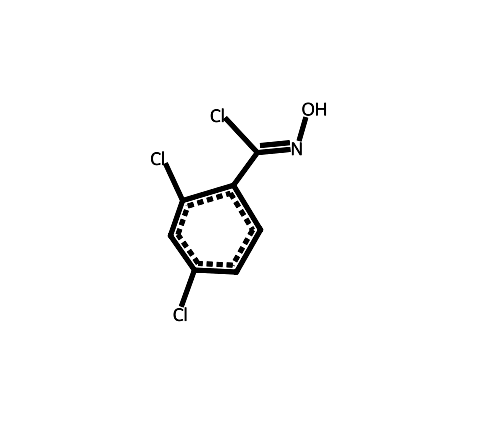 ON=C(Cl)c1ccc(Cl)cc1Cl